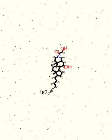 CC12CCC3C(C(O)CC4CN(C(=O)CO)CCC43C)C1CCC2CCCCC(=O)O